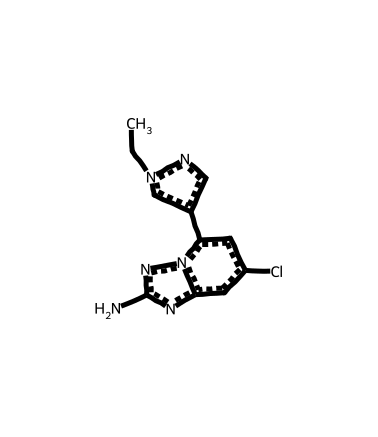 CCn1cc(-c2cc(Cl)cc3nc(N)nn23)cn1